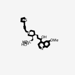 COc1ccc2nccc(C(O)CC[C@@H]3CCN(CC#Cc4cccs4)C[C@@H]3CC(=O)O)c2c1.Cl.Cl